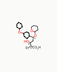 CC[C@H](C(=O)O)[C@@H](O)C[C@H](OC1CCCCO1)c1ccc(Oc2ccccc2)cc1